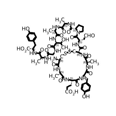 CC(O)[C@H](NC(=O)[C@H](C)NC(=O)[C@H](C)NC(=O)[C@@H]1CCCN1C(=O)[C@H](CC=O)NC(=O)[C@@H]1CSSC[C@H](N)C(=O)N[C@@H](C)C(=O)N[C@@H](CCC(=O)O)C(=O)N[C@@H](Cc2ccc(O)cc2)C(=O)N[C@H](C)C(=O)N1)C(=O)NCC(=O)N[C@H](C)C(=O)N[C@@H](Cc1ccc(O)cc1)C(=O)O